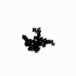 CCCCNc1nc(OC(N)=O)nc2c(Br)nn(Cc3cc(C#N)ccc3OC)c12